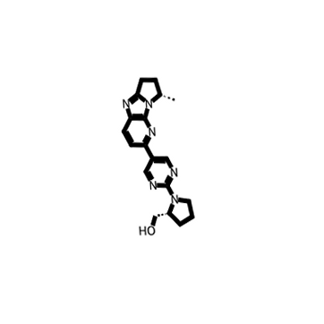 C[C@H]1CCc2nc3ccc(-c4cnc(N5CCC[C@@H]5CO)nc4)nc3n21